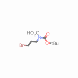 CC(C)(C)OC(=O)N(CCCBr)C(=O)O